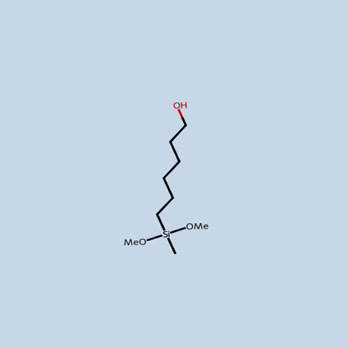 CO[Si](C)(CCCCCCO)OC